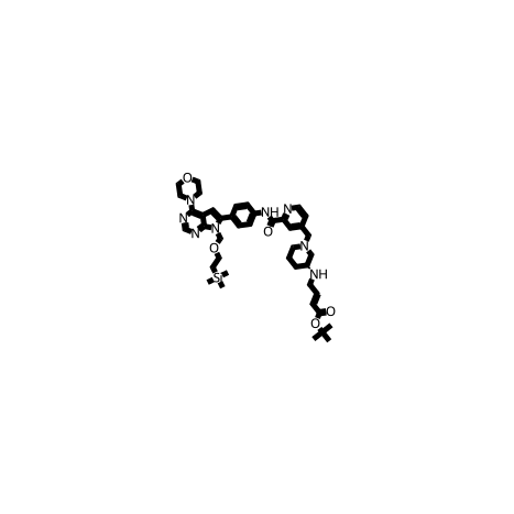 CC(C)(C)OC(=O)/C=C/CN[C@@H]1CCCN(Cc2ccnc(C(=O)Nc3ccc(-c4cc5c(N6CCOCC6)ncnc5n4COCC[Si](C)(C)C)cc3)c2)C1